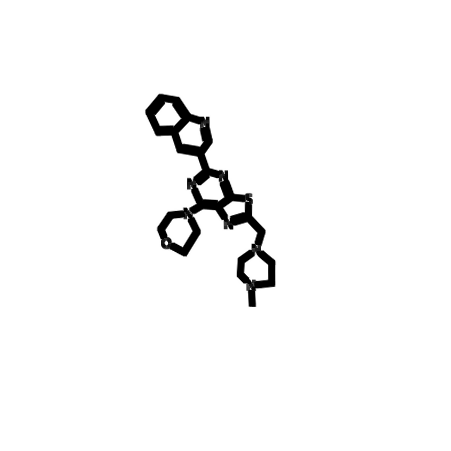 CN1CCN(Cc2nc3c(N4CCOCC4)nc(-c4cnc5ccccc5c4)nc3s2)CC1